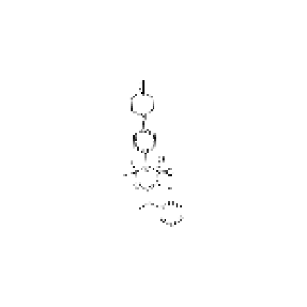 C[C](C1=NS(=O)(=O)[C@@H](c2ccc(N3CCNCC3)cc2)C(C)(C)O1)c1ccccc1F